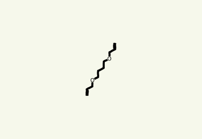 C=CCOCCCCOCC=C